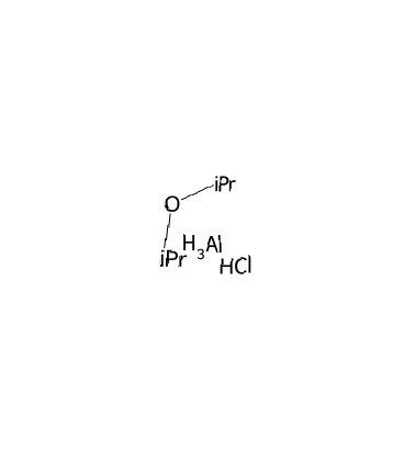 CC(C)OC(C)C.Cl.[AlH3]